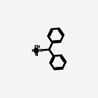 C#N.CCCCCC(c1ccccc1)c1ccccc1